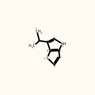 CC(C)c1c[nH]c2ccsc12